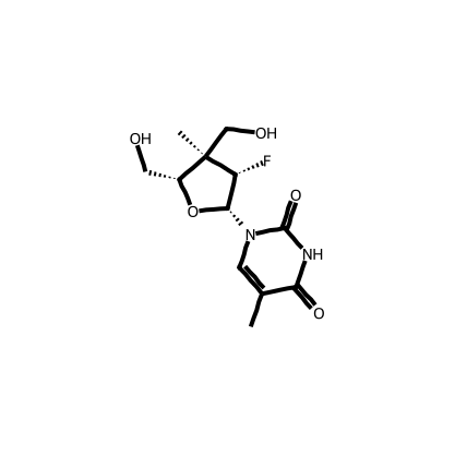 Cc1cn([C@@H]2O[C@H](CO)[C@@](C)(CO)[C@@H]2F)c(=O)[nH]c1=O